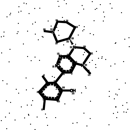 Cc1cc(C)c(-c2cc3c(nn2)N([C@H]2CCCN(C)C2)CCN3C)c(O)c1